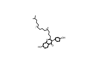 CC(C)CCC[C@@H](C)CCC[C@@H](C)CCCc1oc2cc(O)ccc2c(=O)c1-c1ccc(O)cc1